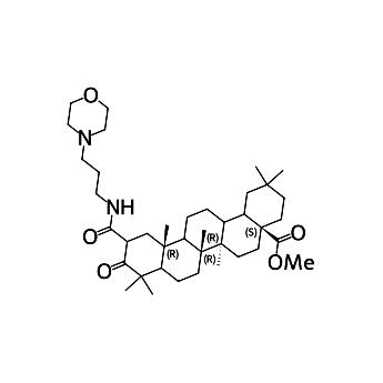 COC(=O)[C@]12CCC(C)(C)CC1C1CCC3[C@@]4(C)CC(C(=O)NCCCN5CCOCC5)C(=O)C(C)(C)C4CC[C@@]3(C)[C@]1(C)CC2